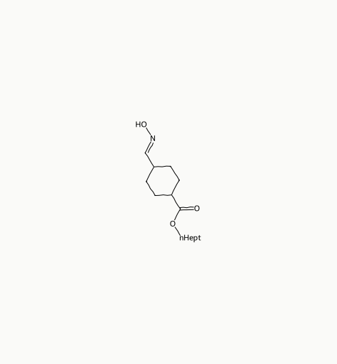 CCCCCCCOC(=O)C1CCC(/C=N/O)CC1